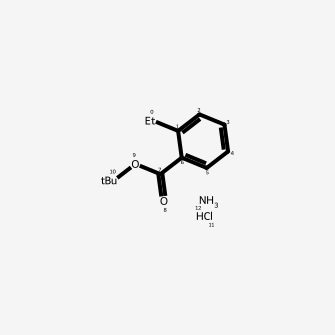 CCc1ccccc1C(=O)OC(C)(C)C.Cl.N